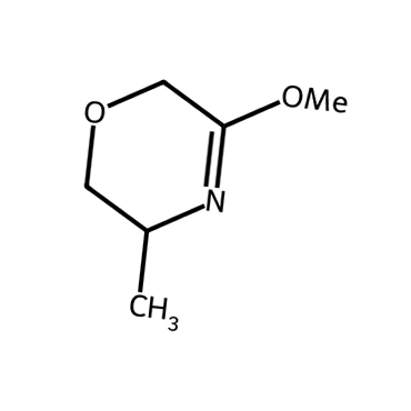 COC1=NC(C)COC1